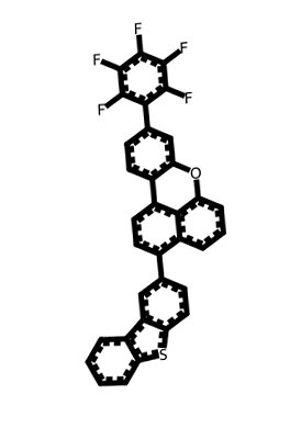 Fc1c(F)c(F)c(-c2ccc3c(c2)Oc2cccc4c(-c5ccc6sc7ccccc7c6c5)ccc-3c24)c(F)c1F